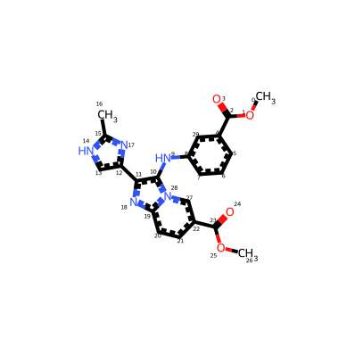 COC(=O)c1cccc(Nc2c(-c3c[nH]c(C)n3)nc3ccc(C(=O)OC)cn23)c1